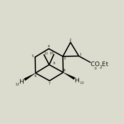 CCOC(=O)C1CC12CC[C@H]1C[C@@H]2C1(C)C